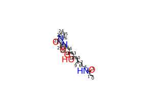 C=CC(=O)NC/C=C/C(C)=C/C(O)CC(=O)Cc1nc(C(=O)N2CCCC2)co1